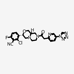 N#Cc1c(F)ccc([C@H]2CN3CCN(C(=O)Cc4ccc(-n5cnnn5)cn4)C[C@H]3CO2)c1Cl